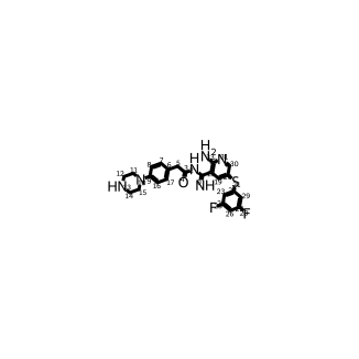 N=C(NC(=O)Cc1ccc(N2CCNCC2)cc1)c1cc(Sc2cc(F)cc(F)c2)cnc1N